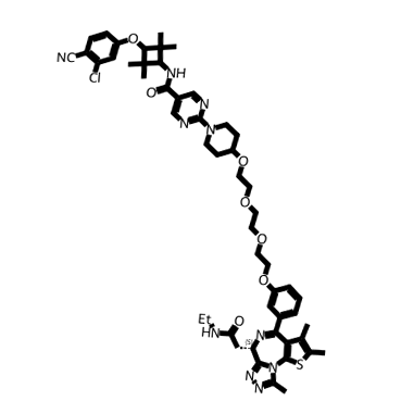 CCNC(=O)C[C@@H]1N=C(c2cccc(OCCOCCOCCOC3CCN(c4ncc(C(=O)NC5C(C)(C)C(Oc6ccc(C#N)c(Cl)c6)C5(C)C)cn4)CC3)c2)c2c(sc(C)c2C)-n2c(C)nnc21